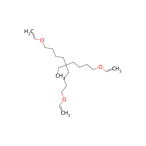 C=COCCCCC(CC)(CCCCOC=C)CCCCOC=C